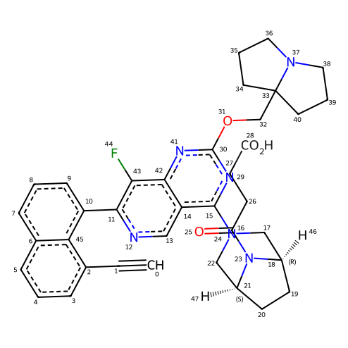 C#Cc1cccc2cccc(-c3ncc4c(N5C[C@H]6CC[C@@H](C5)N6C(=O)CCC(=O)O)nc(OCC56CCCN5CCC6)nc4c3F)c12